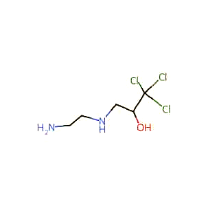 NCCNCC(O)C(Cl)(Cl)Cl